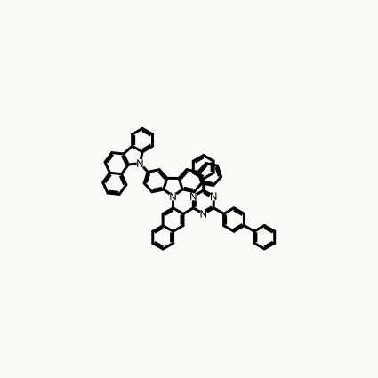 c1ccc(-c2ccc(-c3nc(-c4ccccc4)nc(-c4cc5ccccc5cc4-n4c5ccc(-n6c7ccccc7c7ccc8ccccc8c76)cc5c5cc6ccccc6cc54)n3)cc2)cc1